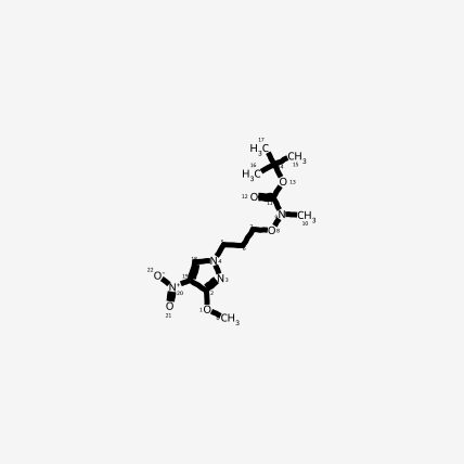 COc1nn(CCCON(C)C(=O)OC(C)(C)C)cc1[N+](=O)[O-]